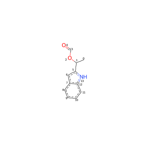 CC(O[C]=O)c1cc2ccccc2[nH]1